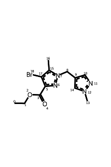 CCOC(=O)c1nn(Cc2cnn(C)c2)c(C)c1Br